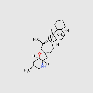 CC1=C2C[C@H]3[C@@H](CC[C@@H]4CCCC[C@@]43C)[C@@H]2CC[C@]2(C1)C[C@@H]1NC[C@@H](C)C[C@H]1O2